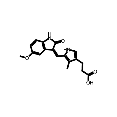 COc1ccc2c(c1)C(=Cc1[nH]cc(CCC(=O)O)c1C)C(=O)N2